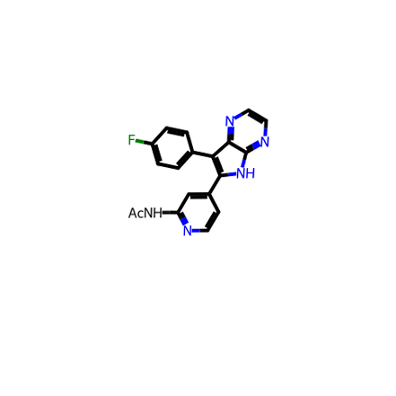 CC(=O)Nc1cc(-c2[nH]c3nccnc3c2-c2ccc(F)cc2)ccn1